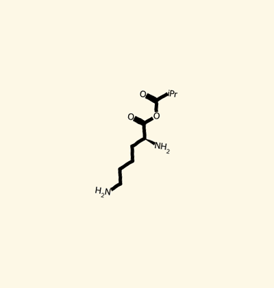 CC(C)C(=O)OC(=O)[C@@H](N)CCCCN